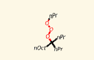 CCCCCCCCC(CCC)(CCC)OOOCCC